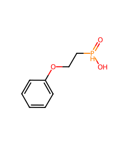 O=[PH](O)CCOc1ccccc1